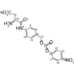 N[C@@H](CC(=O)O)C(=O)Nc1ccc(COC(=O)Oc2ccc([N+](=O)[O-])cc2)cc1